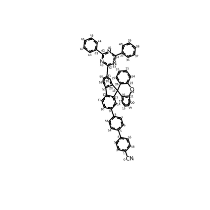 N#Cc1ccc(-c2ccc(-c3ccc4c(c3)C3(c5ccccc5Oc5ccccc53)c3cc(-c5nc(-c6ccccc6)nc(-c6ccccc6)n5)ccc3-4)cc2)cc1